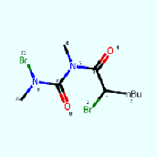 CCCCC(Br)C(=O)N(C)C(=O)N(C)Br